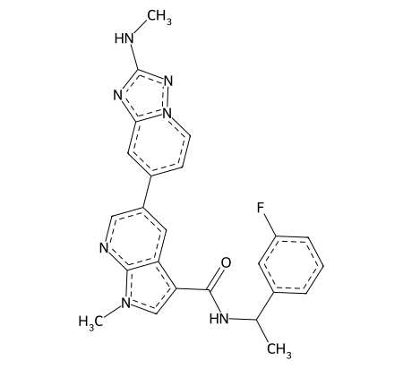 CNc1nc2cc(-c3cnc4c(c3)c(C(=O)NC(C)c3cccc(F)c3)cn4C)ccn2n1